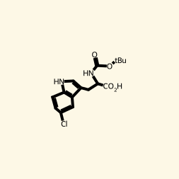 CC(C)(C)OC(=O)NC(Cc1c[nH]c2ccc(Cl)cc12)C(=O)O